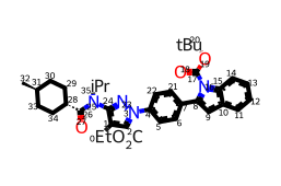 CCOC(=O)c1cn(-c2ccc(-c3cc4ccccc4n3C(=O)OC(C)(C)C)cc2)nc1N(C(=O)[C@H]1CC[C@H](C)CC1)C(C)C